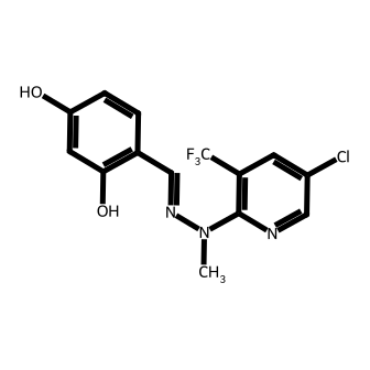 CN(N=Cc1ccc(O)cc1O)c1ncc(Cl)cc1C(F)(F)F